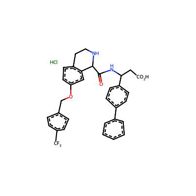 Cl.O=C(O)CC(NC(=O)C1NCCc2ccc(OCc3ccc(C(F)(F)F)cc3)cc21)c1ccc(-c2ccccc2)cc1